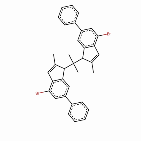 CC1=Cc2c(Br)cc(-c3ccccc3)cc2C1C(C)(C)C1C(C)=Cc2c(Br)cc(-c3ccccc3)cc21